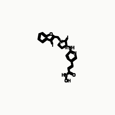 O=C(C=Cc1ccc(N[C@@H]2CCN(Cc3oc4ccccc4c3I)C2I)nc1)NO